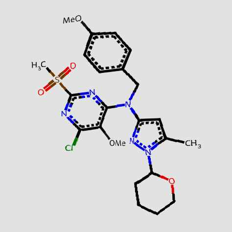 COc1ccc(CN(c2cc(C)n(C3CCCCO3)n2)c2nc(S(C)(=O)=O)nc(Cl)c2OC)cc1